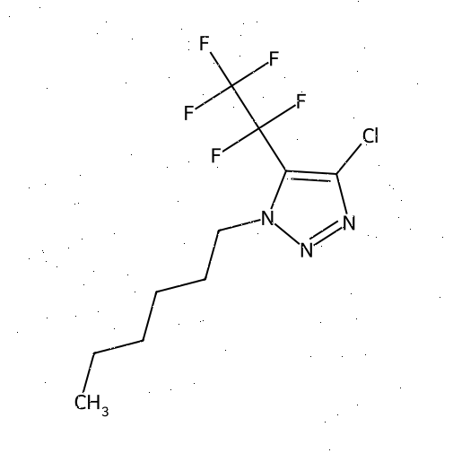 CCCCCCn1nnc(Cl)c1C(F)(F)C(F)(F)F